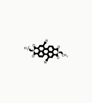 CCN1C(=O)C2=CCc3c4c5c6c(ccc5c5c(C#N)cc(c2c35)C1=O)C(=O)N(CC)C(=O)C6C=C4C#N